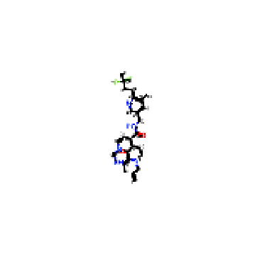 C=C/C=N\C(=C/C)C(=O)\C(CC)=C(/C=C\N=C\N)C(=O)NCc1cnc(CCC(C)(F)F)c(C)c1